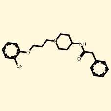 N#Cc1ccccc1OCCCN1CCC(NC(=O)Cc2ccccc2)CC1